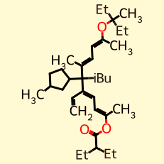 C=C/C(=C\C=C(/C)OC(=O)C(CC)CC)C(/C(C)=C/C=C(\C)OC(C)(CC)CC)(C(C)CC)C1CCC(C)C1